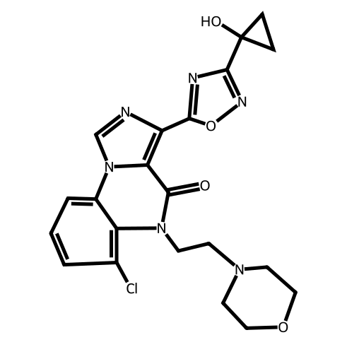 O=c1c2c(-c3nc(C4(O)CC4)no3)ncn2c2cccc(Cl)c2n1CCN1CCOCC1